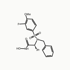 COc1ccc(S(=O)(=O)N(Cc2ccccc2)[C@H](C(=O)NO)C(C)C)cc1F